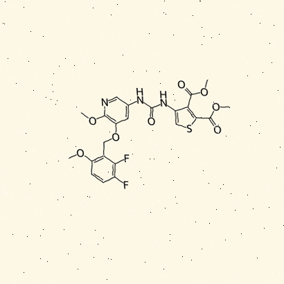 COC(=O)c1scc(NC(=O)Nc2cnc(OC)c(OCc3c(OC)ccc(F)c3F)c2)c1C(=O)OC